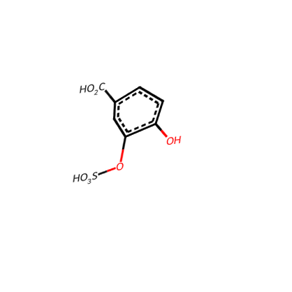 O=C(O)c1ccc(O)c(OS(=O)(=O)O)c1